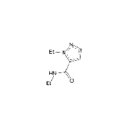 CCNC(=O)c1ccnn1CC